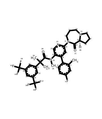 Cc1cc(F)ccc1-c1cc(N2CCCN3CCC[C@H]3C2=O)ncc1N(C)C(=O)C(C)(C)c1cc(C(F)(F)F)cc(C(F)(F)F)c1